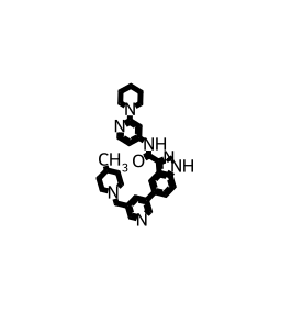 CC1CCN(Cc2cncc(-c3ccc4[nH]nc(C(=O)Nc5ccnc(N6CCCCC6)c5)c4c3)c2)CC1